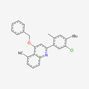 Cc1cc(C(C)(C)C)c(Cl)cc1-c1cc(OCc2ccccc2)c2c(C#N)cccc2n1